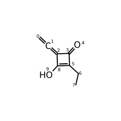 C=C=C1C(=O)C(CC)=C1O